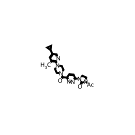 CC(=O)N1CCN(c2ccc(C(=O)N3CCN(c4ncc(C5CC5)cc4C)CC3)nn2)C1=O